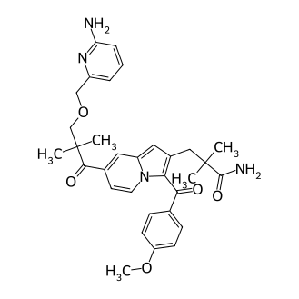 COc1ccc(C(=O)c2c(CC(C)(C)C(N)=O)cc3cc(C(=O)C(C)(C)COCc4cccc(N)n4)ccn23)cc1